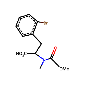 COC(=O)N(C)C(Cc1ccccc1Br)C(=O)O